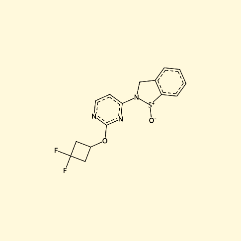 [O-][S+]1c2ccccc2CN1c1ccnc(OC2CC(F)(F)C2)n1